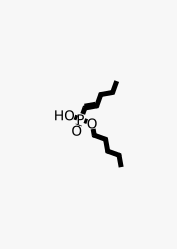 CCCC=CP(=O)(O)OCCCCC